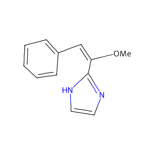 COC(=Cc1ccccc1)c1ncc[nH]1